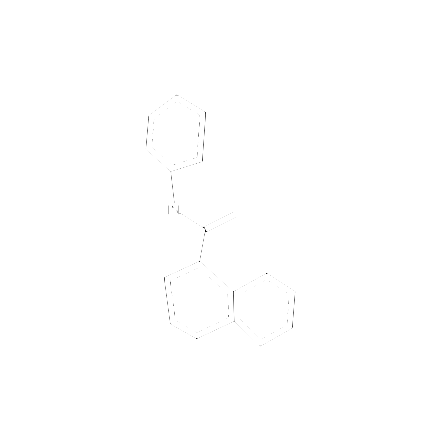 O=C(Nc1[c]cccc1)c1cccc2ccccc12